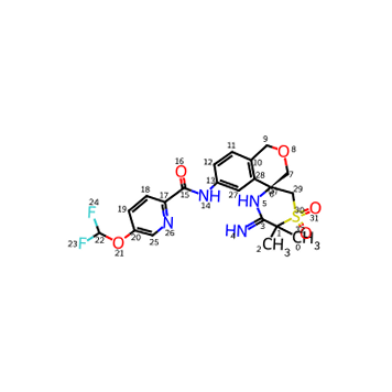 CC1(C)C(=N)N[C@@]2(COCc3ccc(NC(=O)c4ccc(OC(F)F)cn4)cc32)CS1(=O)=O